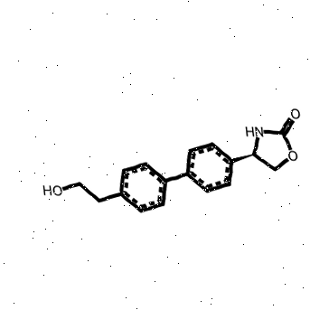 O=C1N[C@H](c2ccc(-c3ccc(CCO)cc3)cc2)CO1